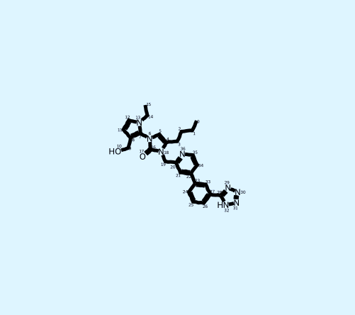 CCCCc1cn(-c2c(CO)ccn2CC)c(=O)n1Cc1cc(-c2cccc(-c3nnn[nH]3)c2)ccn1